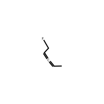 CC=C=CCF